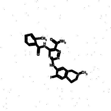 Cc1ccccc1C(=O)Nc1nc(Nc2cc3c(cc2F)CCN(C)C3)nnc1C(N)=O